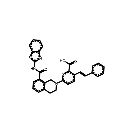 O=C(Nc1nc2ccccc2s1)c1cccc2c1CN(c1ccc(/C=C/c3ccccc3)c(C(=O)O)n1)CC2